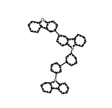 c1cc(-c2cccc(-n3c4ccccc4c4cc(-c5ccc6oc7ccccc7c6c5)ccc43)c2)cc(-n2c3ccccc3c3ccccc32)c1